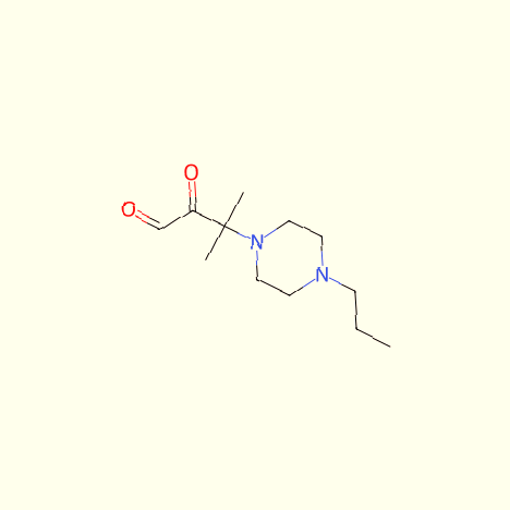 CCCN1CCN(C(C)(C)C(=O)C=O)CC1